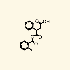 Cc1ccccc1C(=O)OC(=O)C(CC(=O)O)c1ccccc1